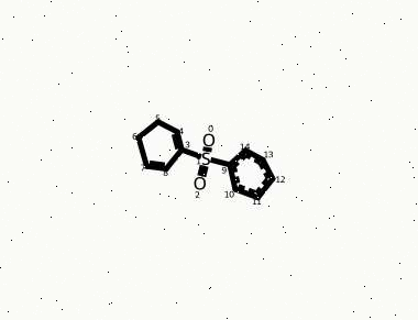 O=S(=O)(C1=CCCC=C1)c1ccccc1